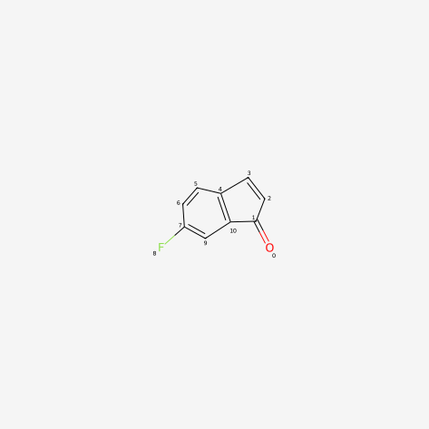 O=C1C=Cc2ccc(F)cc21